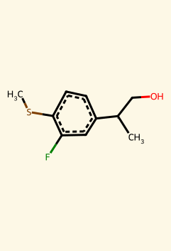 CSc1ccc([C](C)CO)cc1F